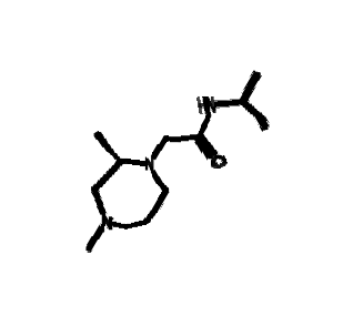 CC(C)NC(=O)CN1CCN(C)C[C@H]1C